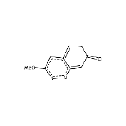 COc1cc2c(nn1)=CC(=O)CC=2